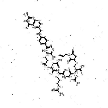 C=CCN1C(=O)CC(SC[C@H](NC(=O)[C@H](CC(=O)O)NC(=O)[C@H](CCCNC(=N)N)NC(=O)[C@H](CC(=O)O)NC(=O)CC[C@H](NC(=O)c2ccc(NCc3cnc4nc(N)[nH]c(=O)c4n3)cc2)C(=O)O)C(=O)O)C1=O